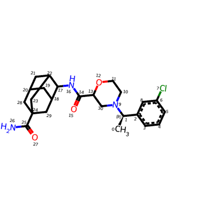 C[C@H](c1cccc(Cl)c1)N1CCOC(C(=O)NC2C3CC4CC2CC(C(N)=O)(C4)C3)C1